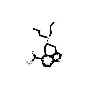 CCCN(CCC)[C@@H]1Cc2c[nH]c3ccc(C(N)=O)c(c23)C1